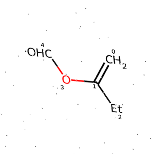 C=C(CC)O[C]=O